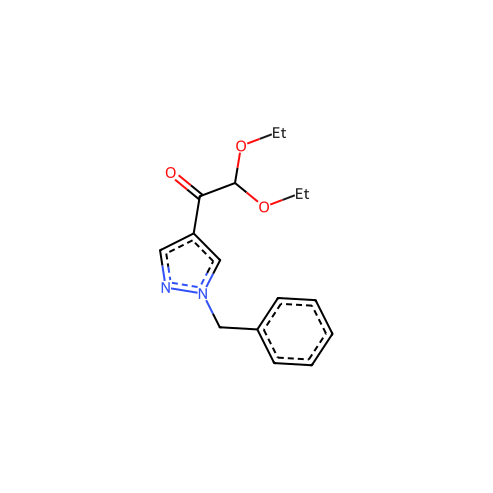 CCOC(OCC)C(=O)c1cnn(Cc2ccccc2)c1